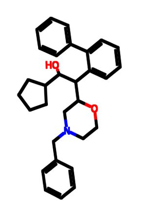 OC(C1CCCC1)C(c1ccccc1-c1ccccc1)C1CN(Cc2ccccc2)CCO1